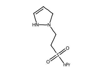 CCCS(=O)(=O)CCN1CC=CN1